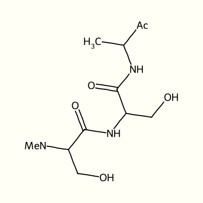 CNC(CO)C(=O)NC(CO)C(=O)NC(C)C(C)=O